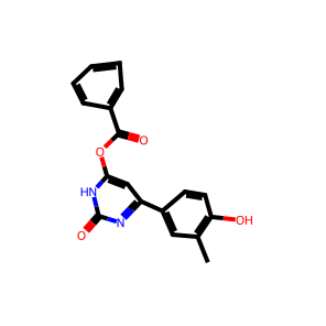 Cc1cc(-c2cc(OC(=O)c3ccccc3)[nH]c(=O)n2)ccc1O